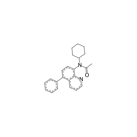 CC(=O)N(c1ccc(-c2ccccc2)c2cccnc12)C1CCCCC1